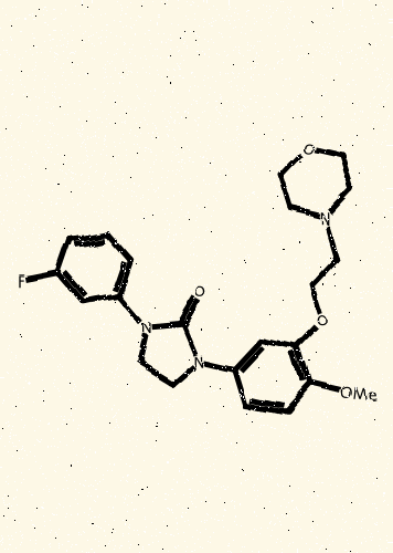 COc1ccc(N2CCN(c3cccc(F)c3)C2=O)cc1OCCN1CCOCC1